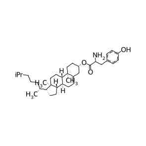 CC(C)CCC[C@@H](C)[C@H]1CC[C@H]2[C@@H]3CC=C4C[C@@H](OC(=O)C(N)Cc5ccc(O)cc5)CC[C@]4(C)[C@H]3CC[C@]12C